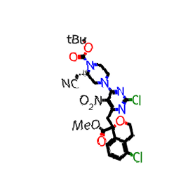 COC(=O)C1(Cc2nc(Cl)nc(N3CCN(C(=O)OC(C)(C)C)[C@@H](CC#N)C3)c2[N+](=O)[O-])OCCc2c(Cl)cccc21